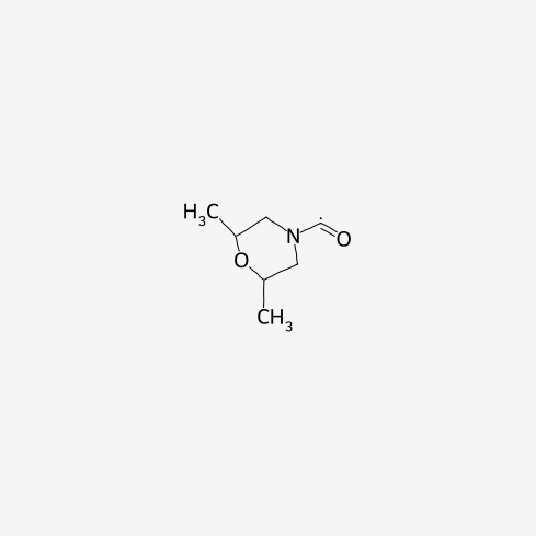 CC1CN([C]=O)CC(C)O1